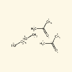 CC(C)=O.CC(C)=O.CO.CO